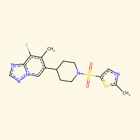 Cc1ncc(S(=O)(=O)N2CCC(c3cn4ncnc4c(F)c3C)CC2)s1